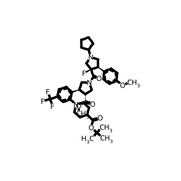 COC(=O)[C@H]1CN(C(=O)[C@]2(F)CN(C3CCCC3)C[C@H]2c2ccc(OC)cc2)C[C@@H]1c1ccc(C(F)(F)F)cc1N1CCC(C(=O)OC(C)(C)C)CC1